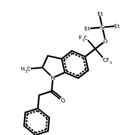 CC[Si](CC)(CC)OC(c1ccc2c(c1)CC(C)N2C(=O)Cc1ccccc1)(C(F)(F)F)C(F)(F)F